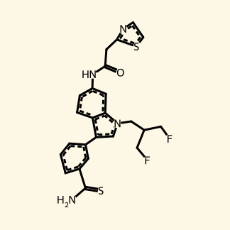 NC(=S)c1cccc(-c2cn(CC(CF)CF)c3cc(NC(=O)Cc4nccs4)ccc23)c1